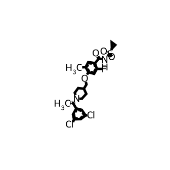 Cc1cc(C(=O)NS(=O)(=O)C2CC2)c(F)cc1OCC1CCN([C@@H](C)c2cc(Cl)cc(Cl)c2)CC1